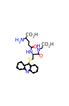 NC(CCC(=O)NC(CSc1c2ccccc2nc2ccccc12)C(=O)NCC(=O)O)C(=O)O